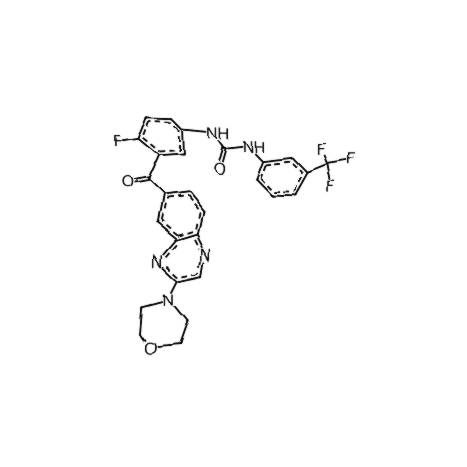 O=C(Nc1cccc(C(F)(F)F)c1)Nc1ccc(F)c(C(=O)c2ccc3ncc(N4CCOCC4)nc3c2)c1